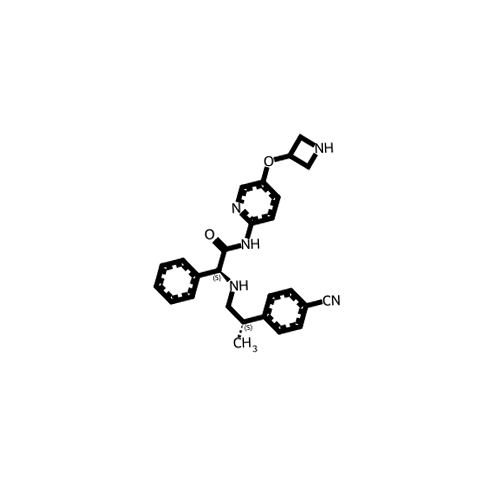 C[C@H](CN[C@H](C(=O)Nc1ccc(OC2CNC2)cn1)c1ccccc1)c1ccc(C#N)cc1